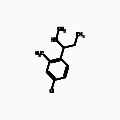 CCC(NC)c1ccc(Cl)cc1C